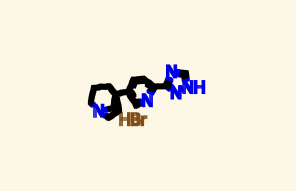 Br.c1nc(-c2ccc(C34CCCN(CC3)C4)cn2)n[nH]1